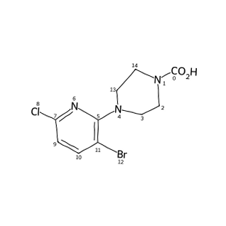 O=C(O)N1CCN(c2nc(Cl)ccc2Br)CC1